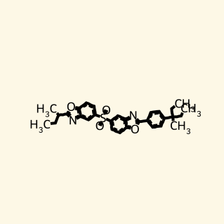 CCC(C)c1nc2cc(S(=O)(=O)c3ccc4oc(-c5ccc(C(C)(CC)CC)cc5)nc4c3)ccc2o1